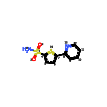 NS(=O)(=O)c1ccc(-c2ccccn2)s1